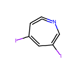 IC1=CN=C=CC(I)=C1